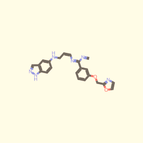 C=N/C(=N\C=C/CNc1ccc2[nH]ncc2c1)c1cccc(OCc2ncco2)c1